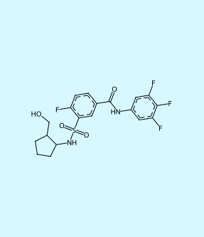 O=C(Nc1cc(F)c(F)c(F)c1)c1ccc(F)c(S(=O)(=O)NC2CCCC2CO)c1